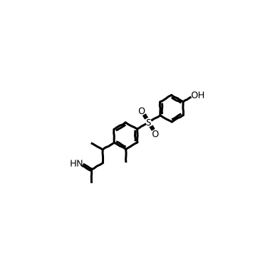 CC(=N)CC(C)c1ccc(S(=O)(=O)c2ccc(O)cc2)cc1C